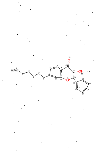 CCCCCCCCCCCCCCCc1ccc2c(=O)c(O)c(-c3ccccc3)oc2c1